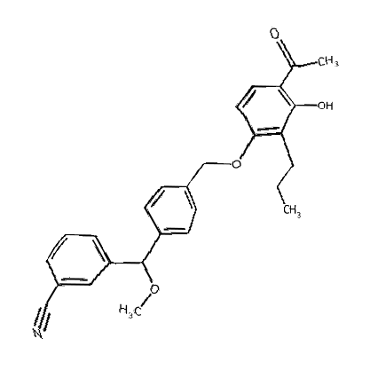 CCCc1c(OCc2ccc(C(OC)c3cccc(C#N)c3)cc2)ccc(C(C)=O)c1O